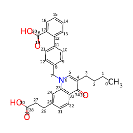 CCCCc1cn(Cc2ccc(-c3ccccc3C(=O)O)cc2)c2cc(CCC(=O)O)ccc2c1=O